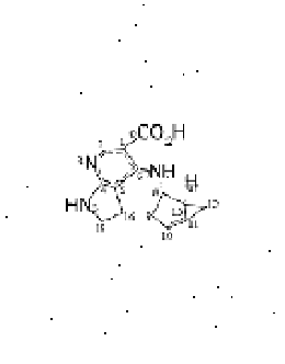 O=C(O)c1cnc2c(c1N[C@H]1CC=C3C[C@@H]31)CCN2